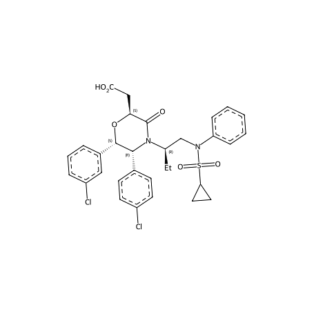 CC[C@H](CN(c1ccccc1)S(=O)(=O)C1CC1)N1C(=O)[C@H](CC(=O)O)O[C@@H](c2cccc(Cl)c2)[C@H]1c1ccc(Cl)cc1